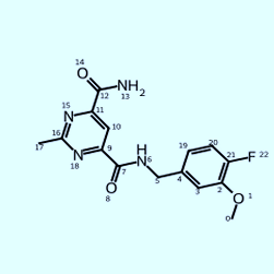 COc1cc(CNC(=O)c2cc(C(N)=O)nc(C)n2)ccc1F